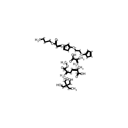 C1=CCC(OCCOC2=CC=CC2)=C1.C=C(C)C(=O)O.C=C(CC=C(C)C(=O)O)C(=O)OC.C=CC(=O)OCCCC.CCC(CO)(CO)CO